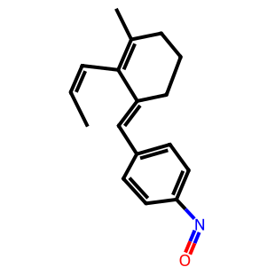 C/C=C\C1=C(C)CCC/C1=C\c1ccc(N=O)cc1